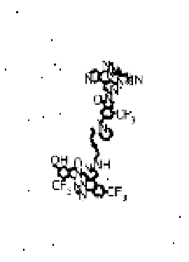 CC(CC#CCCNc1cc(-c2cc(C(F)(F)F)ccc2-c2nncn2C)cc(N2Cc3c(cc(CO)cc3C(F)(F)F)C2=O)n1)[C@@H]1CCCCN1Cc1cc2c(c(C(F)(F)F)c1)CN(c1cc(-c3cnccc3-c3nncn3C)cc(NC3(CC#N)CC3)n1)C2=O